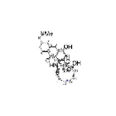 CNCc1ccc2c(c1)Cc1c(O)cc3c(c1C2=O)N[C@H]1C#C/C=C\C#C[C@@H](O)[C@@]32O[C@@]12[C@@H](C)O